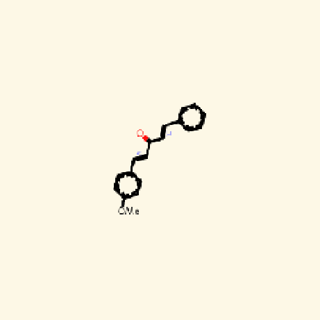 COc1ccc(/C=C/C(=O)/C=C/c2ccccc2)cc1